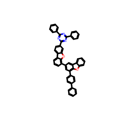 c1ccc(-c2ccc(-c3cc(-c4cccc5c4oc4cc(-c6nc(-c7ccccc7)nc(-c7ccccc7)n6)ccc45)cc4c3oc3ccccc34)cc2)cc1